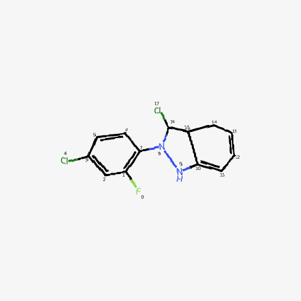 Fc1cc(Cl)ccc1N1NC2=CC=CCC2C1Cl